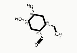 O=C[C@@H]1C[C@H](O)[C@H](O)C[C@@H]1CO